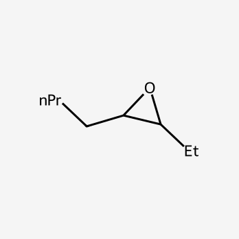 [CH2]CC1OC1CCCC